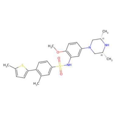 COc1ccc(N2C[C@@H](C)N[C@@H](C)C2)cc1NS(=O)(=O)c1ccc(-c2ccc(C)s2)c(C)c1